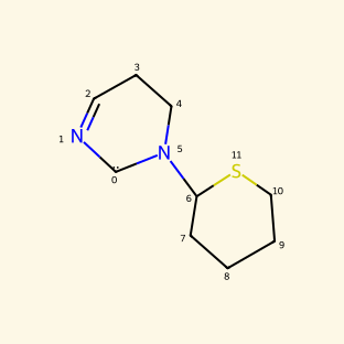 [C]1N=CCCN1C1CCCCS1